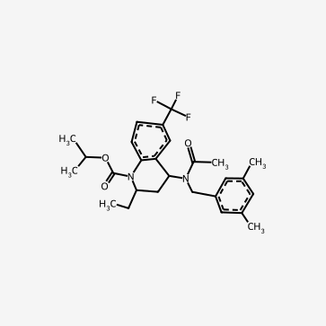 CCC1CC(N(Cc2cc(C)cc(C)c2)C(C)=O)c2cc(C(F)(F)F)ccc2N1C(=O)OC(C)C